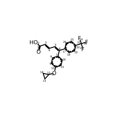 O=C(O)/C=C/C=C(\c1ccc(OC2CC2)cc1)c1ccc(C(F)(F)F)cc1